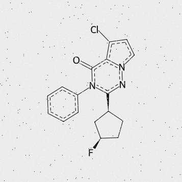 O=c1c2c(Cl)ccn2nc([C@H]2CC[C@@H](F)C2)n1-c1ccccc1